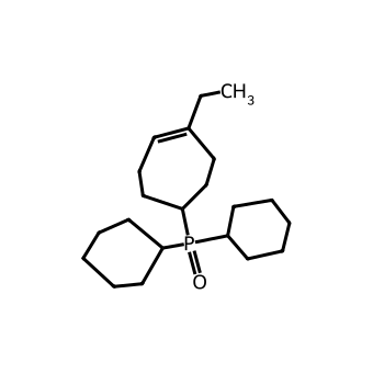 CCC1=CCCC(P(=O)(C2CCCCC2)C2CCCCC2)CC1